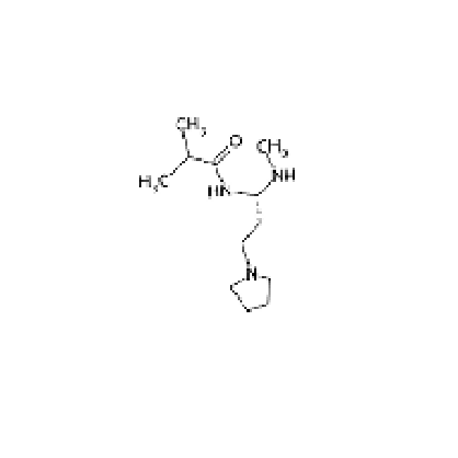 CN[C@H](CCN1CCCC1)NC(=O)C(C)C